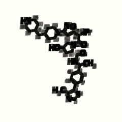 Cc1ncsc1-c1ccc([C@H](C)NC(=O)[C@@H]2C[C@@H](O)CN2C(=O)[C@@H](c2cc(N3CCC(CC4CCNCC4)CC3)no2)C(C)C)cc1